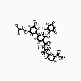 Cc1cc(C)c(Oc2nc(-c3cc(F)cc(OCC(C)C)c3)ccc2C(=O)NS(=O)(=O)c2cccc(C(=O)O)n2)c(C)c1